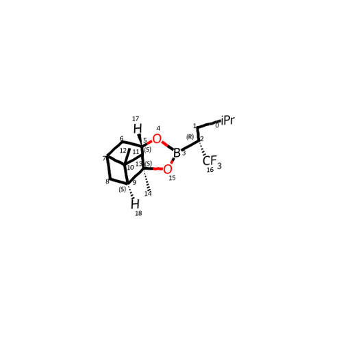 CC(C)C[C@@H](B1O[C@H]2CC3C[C@@H](C3(C)C)[C@]2(C)O1)C(F)(F)F